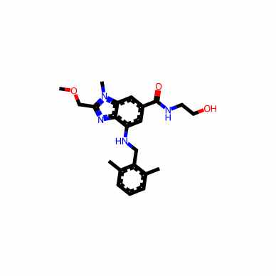 COCc1nc2c(NCc3c(C)cccc3C)cc(C(=O)NCCO)cc2n1C